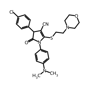 CN(C)c1ccc(N2C(=O)C(c3ccc(Cl)cc3)C(C#N)=C2SCCN2CCOCC2)cc1